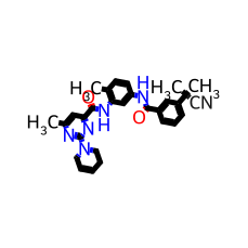 Cc1cc(C(=O)Nc2cc(NC(=O)c3cccc(C(C)(C)C#N)c3)ccc2C)nc(N2CC=CCC2)n1